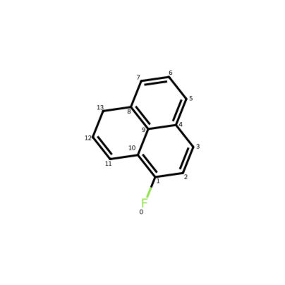 Fc1ccc2cccc3c2c1C=CC3